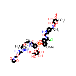 COc1ccc2c(OS(=O)(=O)Oc3cc(C(=O)NCC(C)(C)COCC(C)(C)CN(N)/C=C(\N)COCCN4C(=O)C=CC4=O)ccc3O[C@@H]3O[C@H](CO)[C@@H](O)[C@H](O)[C@H]3O)cc3c(c2c1)[C@H](CCl)CN3C(=O)c1cc2cc(/C(C)=N/O[C@@H]3O[C@H](C(=O)O)[C@@H](O)[C@H](O)[C@H]3O)ccc2[nH]1